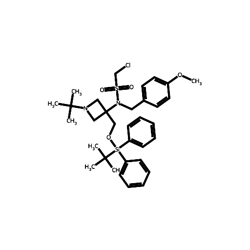 COc1ccc(CN(C2(CO[Si](c3ccccc3)(c3ccccc3)C(C)(C)C)CN(C(C)(C)C)C2)S(=O)(=O)CCl)cc1